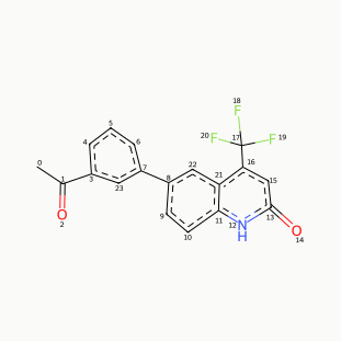 CC(=O)c1cccc(-c2ccc3[nH]c(=O)cc(C(F)(F)F)c3c2)c1